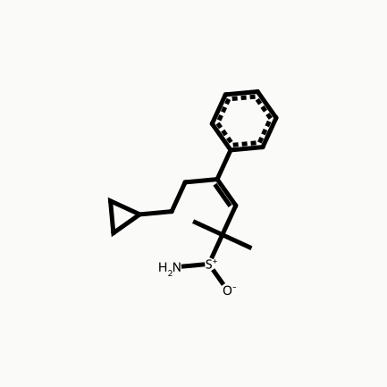 CC(C)(C=C(CCC1CC1)c1ccccc1)[S+](N)[O-]